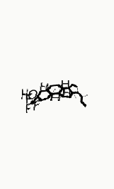 C=C[C@@H](C)[C@H]1CC[C@H]2[C@@H]3CC[C@@H]4C[C@@](O)(C(F)(F)F)CC[C@]4(C)[C@H]3CC[C@]12C